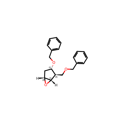 c1ccc(COC[C@H]2[C@@H]3O[C@@H]3C[C@@H]2OCc2ccccc2)cc1